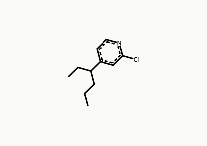 CCCC(CC)c1ccnc(Cl)c1